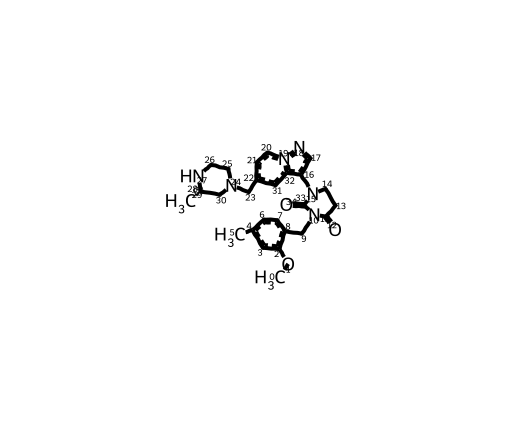 COc1cc(C)ccc1CN1C(=O)CCN(c2cnn3ccc(CN4CCN[C@@H](C)C4)cc23)C1=O